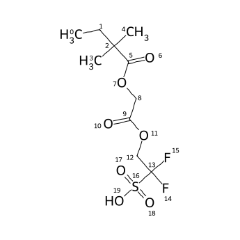 CCC(C)(C)C(=O)OCC(=O)OCC(F)(F)S(=O)(=O)O